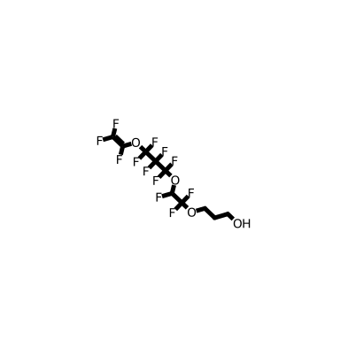 OCCCOC(F)(F)C(F)OC(F)(F)C(F)(F)C(F)(F)OC(F)=C(F)F